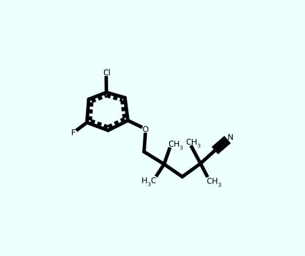 CC(C)(C#N)CC(C)(C)COc1cc(F)cc(Cl)c1